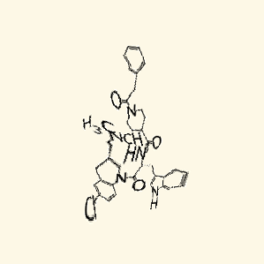 CN(C)C[C@@H]1Cc2cc(Cl)ccc2N(C(=O)[C@@H](Cc2c[nH]c3ccccc23)NC(=O)C2CCN(C(=O)Cc3ccccc3)CC2)C1